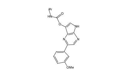 COc1cccc(-c2cnc3[nH]cc(OC(=O)NC(C)C)c3n2)c1